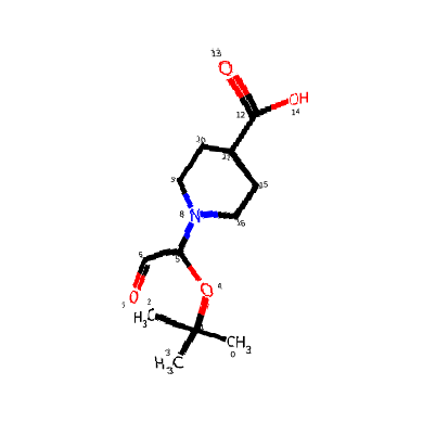 CC(C)(C)OC(C=O)N1CCC(C(=O)O)CC1